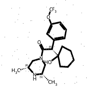 C[C@@H]1CN(C(=O)[C@H](c2cccc(OC(F)(F)F)c2)C2(O)CCCCC2)C[C@H](C)N1